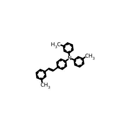 Cc1cccc(C=Cc2ccc(N(c3cccc(C)c3)c3cccc(C)c3)cc2)c1